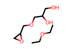 CCOCC.OCC(O)COCC1CO1